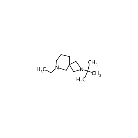 CCN1CCCC2(C1)CN(C(C)(C)C)C2